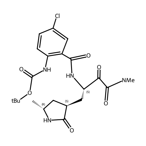 CNC(=O)C(=O)[C@H](C[C@@H]1C[C@@H](C)NC1=O)NC(=O)c1cc(Cl)ccc1NC(=O)OC(C)(C)C